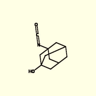 O=C=NC12CC3CC(CC(O)(C3)C1)C2